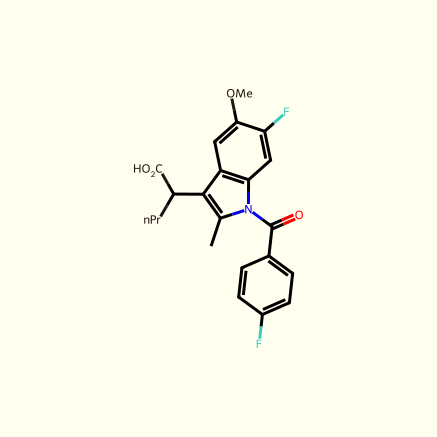 CCCC(C(=O)O)c1c(C)n(C(=O)c2ccc(F)cc2)c2cc(F)c(OC)cc12